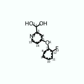 OC(O)c1cc(Oc2ccccc2F)ccn1